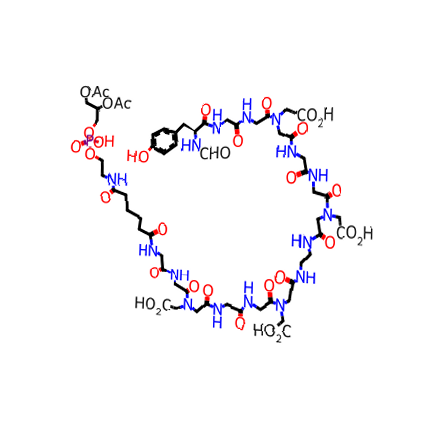 CC(=O)OCC(COP(=O)(O)OCCNC(=O)CCCCC(=O)NCC(=O)NCC(=O)N(CC(=O)O)CC(=O)NCC(=O)NCC(=O)N(CC(=O)O)CC(=O)NCCNC(=O)CN(CC(=O)O)C(=O)CNC(=O)CNC(=O)CN(CC(=O)O)C(=O)CNC(=O)CNC(=O)[C@H](Cc1ccc(O)cc1)NC=O)OC(C)=O